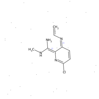 C=C/N=C1/C=CC(Cl)=N/C1=C(/N)NC